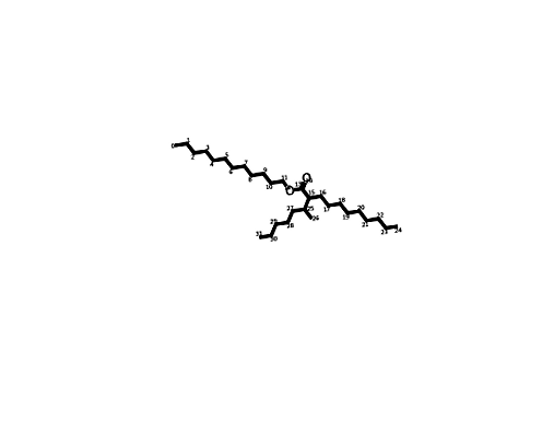 CCCCCCCCCCCCOC(=O)C(CCCCCCCCC)C(C)CCCCC